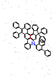 c1ccc(-c2ccc(N(c3ccc4c(c3)C(c3ccccc3)(c3ccccc3)c3ccccc3-4)c3ccccc3-c3ccc4c(c3)c(-c3ccccc3)c(-c3ccccc3)c3ccccc34)c3ccccc23)cc1